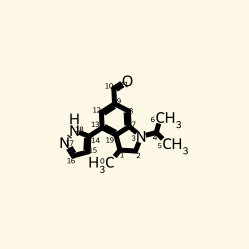 CC1CN(C(C)C)c2cc(C=O)cc(-c3ccn[nH]3)c21